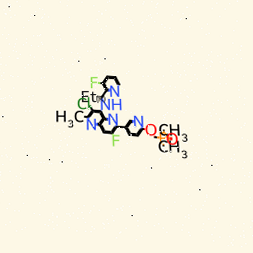 CC[C@@H](Nc1c(Cl)c(C)nc2cc(F)c(-c3ccc(OCP(C)(C)=O)nc3)nc12)c1ncccc1F